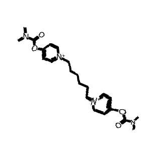 CN(C)C(=O)Oc1cc[n+](CCCCCC[n+]2ccc(OC(=O)N(C)C)cc2)cc1